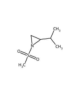 CC(C)C1CN1S(C)(=O)=O